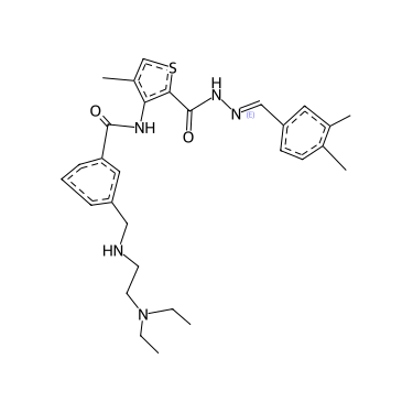 CCN(CC)CCNCc1cccc(C(=O)Nc2c(C)csc2C(=O)N/N=C/c2ccc(C)c(C)c2)c1